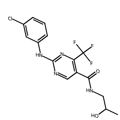 CC(O)CNC(=O)c1cnc(Nc2cccc(Cl)c2)nc1C(F)(F)F